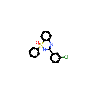 O=S1(c2ccccc2)=NC(c2cccc(Cl)c2)=Nc2ccccc21